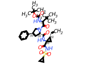 C=C[C@@H]1C[C@]1(NC(=O)[C@@H]1C[C@@H](c2ccccc2)CN1C(=O)[C@@H](NC(=O)OC(C)(C)C)C(C)(C)C)C(=O)NS(=O)(=O)C1CC1